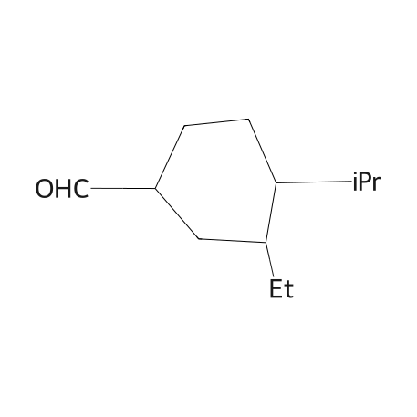 CCC1CC(C=O)CCC1C(C)C